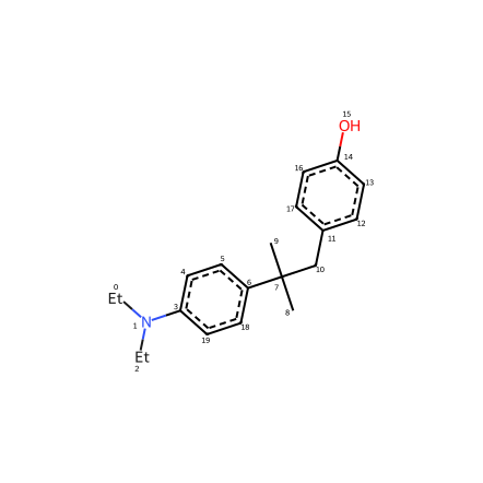 CCN(CC)c1ccc(C(C)(C)Cc2ccc(O)cc2)cc1